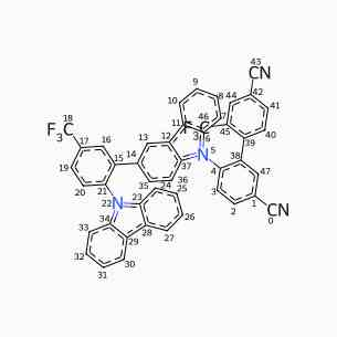 N#Cc1ccc(-n2c3ccccc3c3cc(-c4cc(C(F)(F)F)ccc4-n4c5ccccc5c5ccccc54)ccc32)c(-c2ccc(C#N)cc2C(F)(F)F)c1